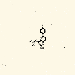 CC[C@@H](OC)Oc1nc(N)nc2ccc(-c3ccc(F)cc3)nc12